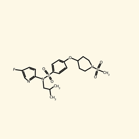 CC(C)CN(c1ccc(F)cn1)S(=O)(=O)c1ccc(OC2CCN(S(C)(=O)=O)CC2)cc1